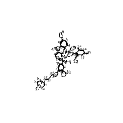 COc1ccc(N(C(=O)Oc2c(C)cc(C)cc2C)c2ccnc(Nc3ccc(OCCCN4CCN(C)CC4)c(OC)c3)n2)c(OC)c1